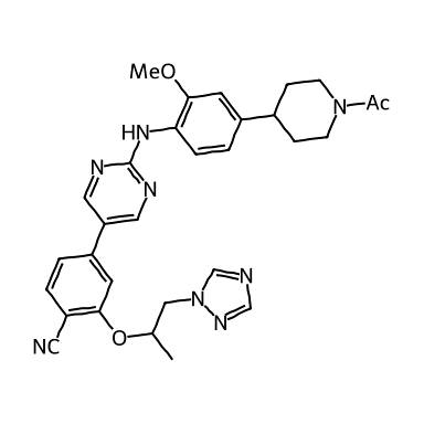 COc1cc(C2CCN(C(C)=O)CC2)ccc1Nc1ncc(-c2ccc(C#N)c(OC(C)Cn3cncn3)c2)cn1